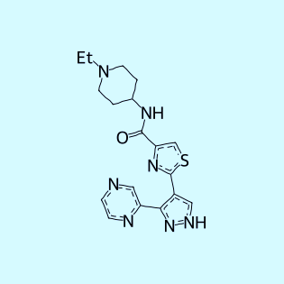 CCN1CCC(NC(=O)c2csc(-c3c[nH]nc3-c3cnccn3)n2)CC1